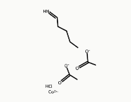 CC(=O)[O-].CC(=O)[O-].CCCCC=N.Cl.[Co+2]